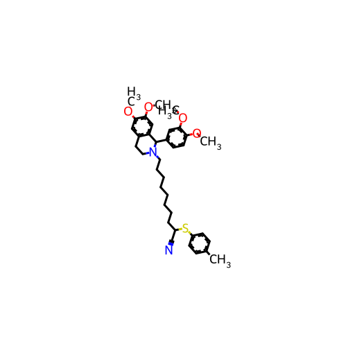 COc1ccc(C2c3cc(OC)c(OC)cc3CCN2CCCCCCCCC(C#N)Sc2ccc(C)cc2)cc1OC